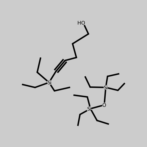 CC[Si](C#CCCCO)(CC)CC.CC[Si](CC)(CC)O[Si](CC)(CC)CC